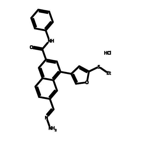 CCSc1cc(-c2cc(C(=O)Nc3ccccc3)cc3ccc(C=NN)cc23)co1.Cl